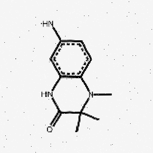 CN1c2ccc([NH])cc2NC(=O)C1(C)C